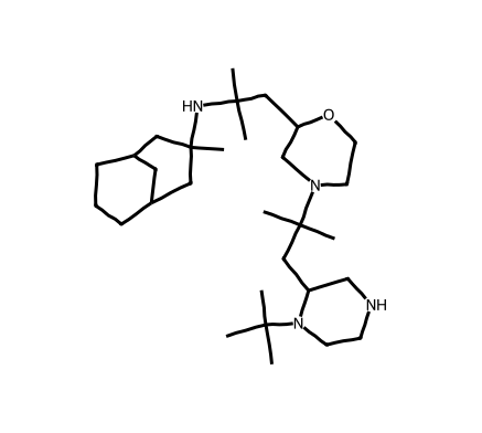 CC(C)(CC1CN(C(C)(C)CC2CNCCN2C(C)(C)C)CCO1)NC1(C)CC2CCCC(C2)C1